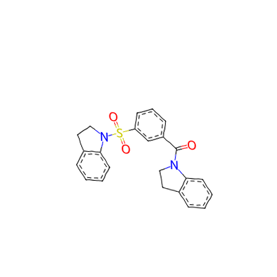 O=C(c1cccc(S(=O)(=O)N2CCc3ccccc32)c1)N1CCc2ccccc21